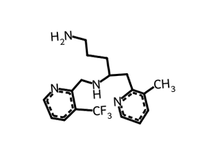 Cc1cccnc1CC(CCCN)NCc1ncccc1C(F)(F)F